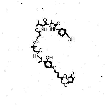 C/C(=N\NC(=O)CC(C)(C)SSCCC(=O)N[C@H](C(=O)N[C@@H](C)C(=O)Nc1ccc(CO)cc1)C(C)C)c1ccc(OCCCC(=O)ON2C(=O)CCC2=O)cc1O